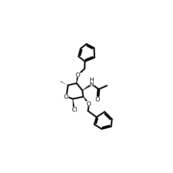 CC(=O)N[C@H]1[C@@H](OCc2ccccc2)[C@@H](Cl)O[C@H](C)[C@H]1OCc1ccccc1